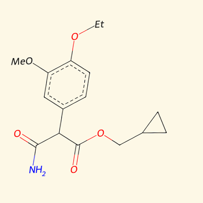 CCOc1ccc(C(C(N)=O)C(=O)OCC2CC2)cc1OC